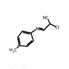 CCC(C#N)C=Nc1ccc(C)cc1